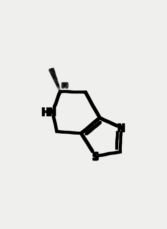 C[C@@H]1Cc2ncsc2CN1